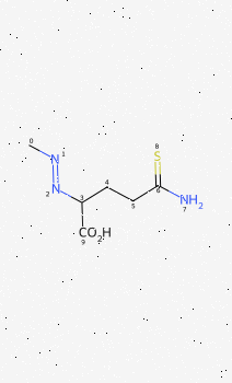 C/N=N/C(CCC(N)=S)C(=O)O